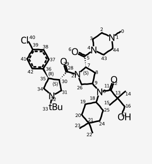 CN1CCN(C(=O)[C@@H]2CC(N(C(=O)C(C)(C)CO)C3CCC(C)(C)CC3)CN2C(=O)[C@@H]2CN(C(C)(C)C)C[C@H]2c2ccc(Cl)cc2)CC1